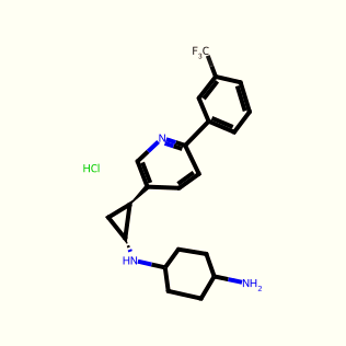 Cl.NC1CCC(N[C@@H]2C[C@H]2c2ccc(-c3cccc(C(F)(F)F)c3)nc2)CC1